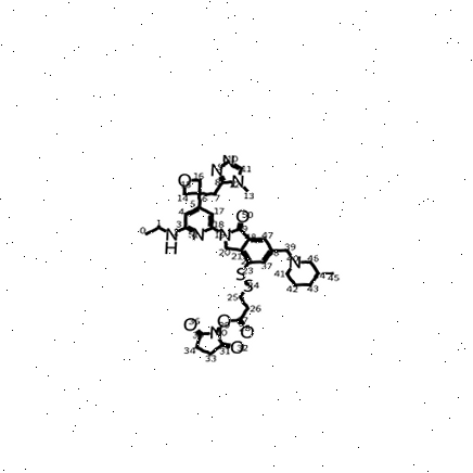 CCNc1cc(C2(Cc3nncn3C)COC2)cc(N2Cc3c(SSCCC(=O)ON4C(=O)CCC4=O)cc(CN4CCC[C@H](C)C4)cc3C2=O)n1